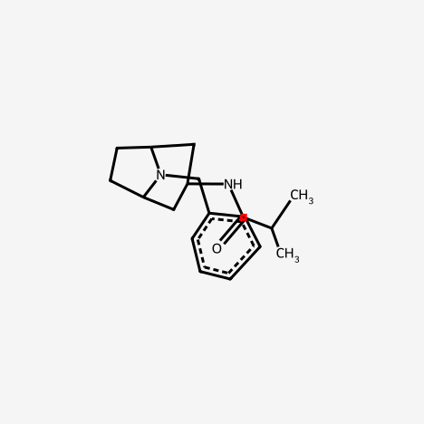 CC(C)C(=O)NC1CC2CCC(C1)N2Cc1ccccc1